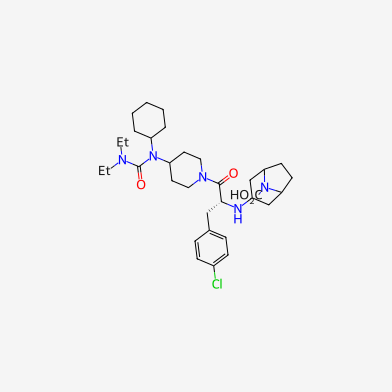 CCN(CC)C(=O)N(C1CCCCC1)C1CCN(C(=O)[C@@H](Cc2ccc(Cl)cc2)NC2CC3CCC(C2)N3C(=O)O)CC1